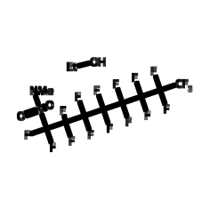 CCO.CNS(=O)(=O)C(F)(F)C(F)(F)C(F)(F)C(F)(F)C(F)(F)C(F)(F)C(F)(F)C(F)(F)F